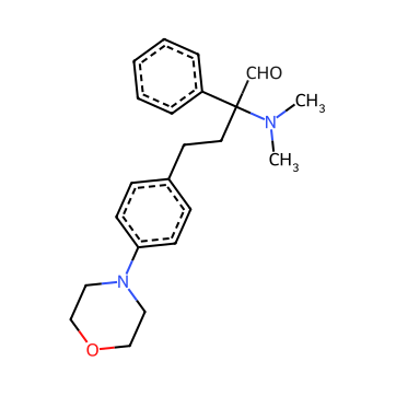 CN(C)C(C=O)(CCc1ccc(N2CCOCC2)cc1)c1ccccc1